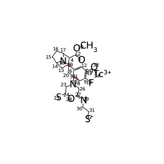 COC(=O)C1C(c2ccc(F)cc2)CC2CCC1N2CCCN(CC[S-])CC([O-])=NCC[S-].[O]=[99Tc+3]